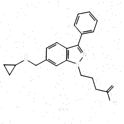 COC(=O)CCCn1nc(-c2ccccc2)c2ccc(CNC3CC3)cc21.Cl